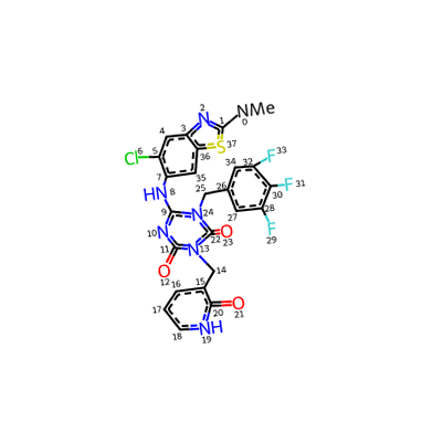 CNc1nc2cc(Cl)c(Nc3nc(=O)n(Cc4ccc[nH]c4=O)c(=O)n3Cc3cc(F)c(F)c(F)c3)cc2s1